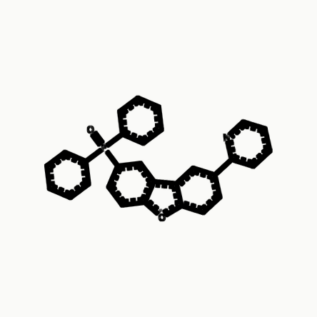 O=P(c1ccccc1)(c1ccccc1)c1ccc2oc3ccc(-c4ccccn4)cc3c2c1